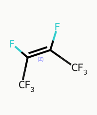 F/C(=C(\F)C(F)(F)F)C(F)(F)F